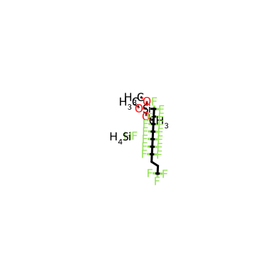 CO[Si](OC)(OC)C(F)(F)C(F)(F)C(F)(F)C(F)(F)C(F)(F)C(F)(F)C(F)(F)CCC(F)(F)F.F.[SiH4]